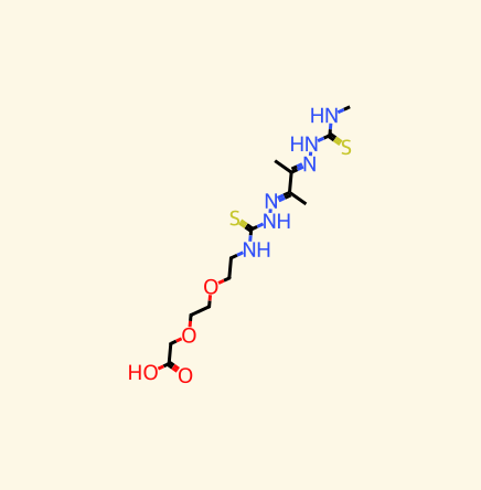 CNC(=S)N/N=C(C)/C(C)=N/NC(=S)NCCOCCOCC(=O)O